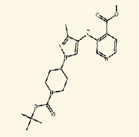 COC(=O)c1ccncc1Nc1cn(C2CCN(C(=O)OC(C)(C)C)CC2)nc1C